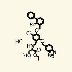 CCOC(=O)[C@@H](CO)NCc1cc(Cl)c(OCc2cccc(-c3ccccc3)c2Br)cc1OCc1ccc2nsnc2c1.Cl